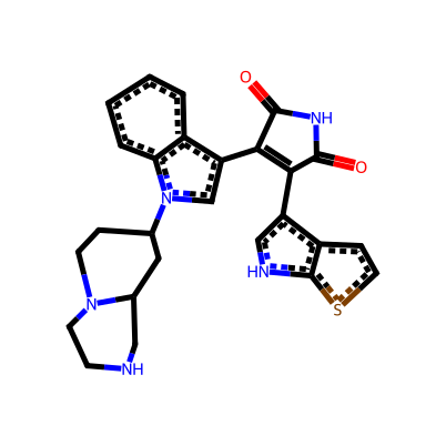 O=C1NC(=O)C(c2cn(C3CCN4CCNCC4C3)c3ccccc23)=C1c1c[nH]c2sccc12